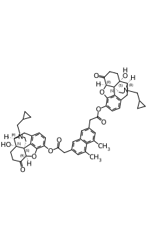 Cc1cc(CC(=O)Oc2ccc3c4c2O[C@H]2C(=O)CC[C@@]5(O)[C@@H](C3)N(CC3CC3)CC[C@]425)cc2cc(CC(=O)Oc3ccc4c5c3O[C@H]3C(=O)CC[C@@]6(O)[C@@H](C4)N(CC4CC4)CC[C@]536)cc(C)c12